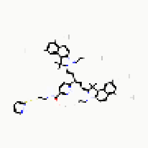 CC1(C)C(/C=C/C(=C/C=C2/N(CCS(=O)(=O)O)c3ccc4c(S(=O)(=O)O)cc(S(=O)(=O)O)cc4c3C2(C)C)c2ccc(C(=O)NCCSSc3ccccn3)cn2)=[N+](CCS(=O)(=O)O)c2ccc3c(S(=O)(=O)O)cc(S(=O)(=O)O)cc3c21